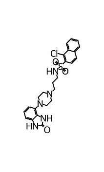 O=c1[nH]c2cccc(N3CCN(CCCNS(=O)(=O)c4ccc5ccccc5c4Cl)CC3)c2[nH]1